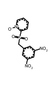 O=[N+]([O-])c1cc(CS(=O)(=O)c2cccc[n+]2[O-])cc([N+](=O)[O-])c1